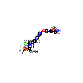 CCc1cc(Nc2ncc(Cl)c(Nc3ccc(OC)cc3N(C)S(C)(=O)=O)n2)c(OC)cc1N1CCC(N2CCN(CCOC3CCN(c4ccc(C5CCC(=O)NC5=O)c(OC(F)(F)F)c4)CC3)CC2)CC1